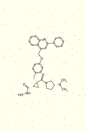 CN(C)[C@@H]1CCN(C(=O)[C@@]2(Cc3ccc(OCc4cc(-c5ccccc5)nc5ccccc45)cc3)C[C@@H]2C(=O)NO)C1